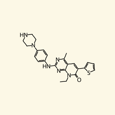 CCn1c(=O)c(-c2cccs2)cc2c(C)nc(Nc3ccc(N4CCNCC4)cc3)nc21